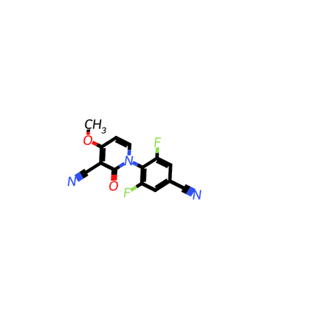 COc1ccn(-c2c(F)cc(C#N)cc2F)c(=O)c1C#N